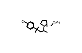 COC[C@H]1CCCN1C(C)CC(C)(C)c1ccc(Cl)cc1